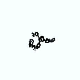 COc1ccc(-c2ccc3c(-c4cccc([N+](=O)[O-])c4)cn(-c4cc(NCCN5CCOCC5)ncn4)c3c2)cc1